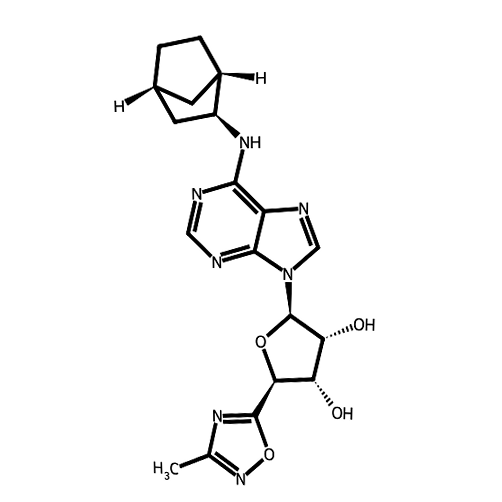 Cc1noc([C@H]2O[C@@H](n3cnc4c(N[C@H]5C[C@@H]6CC[C@H]5C6)ncnc43)[C@H](O)[C@@H]2O)n1